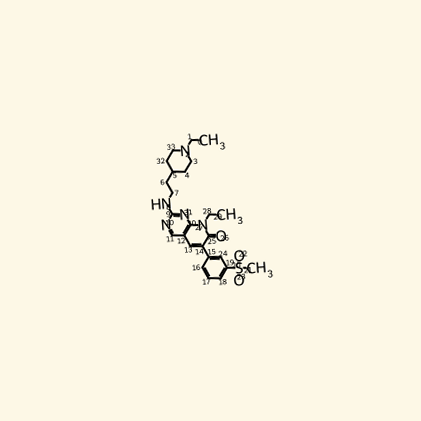 CCN1CCC(CCNc2ncc3cc(-c4cccc(S(C)(=O)=O)c4)c(=O)n(CC)c3n2)CC1